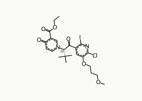 CCOC(=O)c1cn([C@H](C(=O)c2cc(OCCCOC)c(Cl)nc2I)C(C)(C)C)ccc1=O